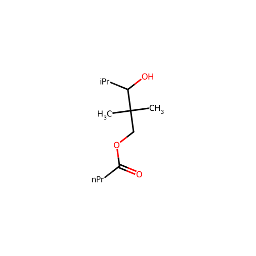 CCCC(=O)OCC(C)(C)C(O)C(C)C